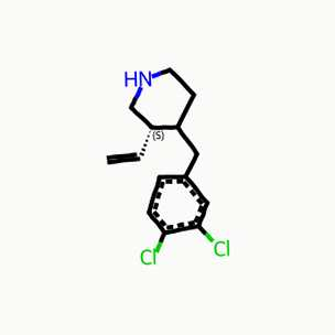 C=C[C@@H]1CNCCC1Cc1ccc(Cl)c(Cl)c1